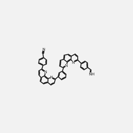 N#Cc1ccc(-c2ccc3ccc4ccc(-c5cccc(-c6ccc7ccc8ccc(-c9ccc(C=N)cc9)nc8c7n6)c5)nc4c3n2)cc1